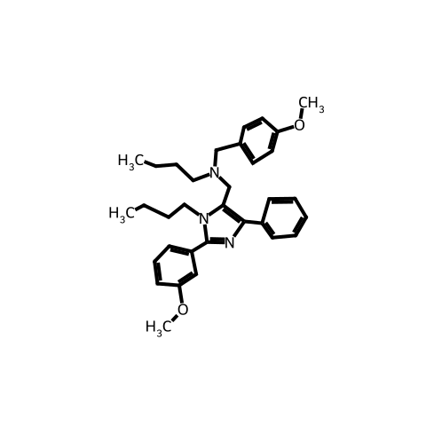 CCCCN(Cc1ccc(OC)cc1)Cc1c(-c2ccccc2)nc(-c2cccc(OC)c2)n1CCCC